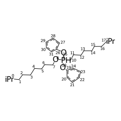 CC(C)CCCCCCCO[PH](CCCCCCCC(C)C)(Oc1ccccc1)Oc1ccccc1